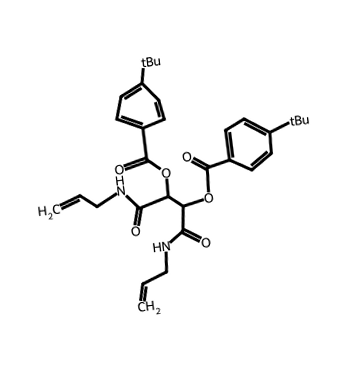 C=CCNC(=O)C(OC(=O)c1ccc(C(C)(C)C)cc1)C(OC(=O)c1ccc(C(C)(C)C)cc1)C(=O)NCC=C